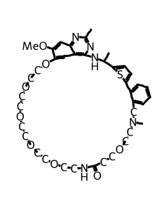 COc1cc2nc(C)nc3c2cc1OCCOCCOCCOCCOCCNC(=O)CCOCCN(C)Cc1ccccc1-c1ccc(s1)C(C)N3